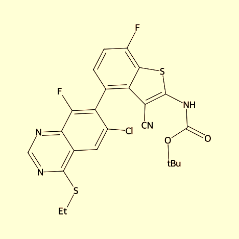 CCSc1ncnc2c(F)c(-c3ccc(F)c4sc(NC(=O)OC(C)(C)C)c(C#N)c34)c(Cl)cc12